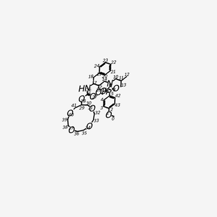 COc1ccc(S(=O)(=O)N(CC(C)C)C[C@@H](O)[C@H](Cc2ccccc2)NC(=O)OC2COCCOCCOCCOC2)cc1